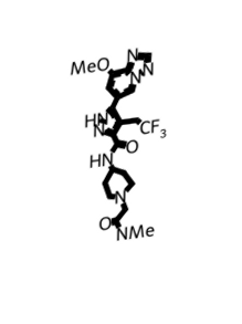 CNC(=O)CN1CCC(NC(=O)c2n[nH]c(-c3cc(OC)c4ncnn4c3)c2CC(F)(F)F)CC1